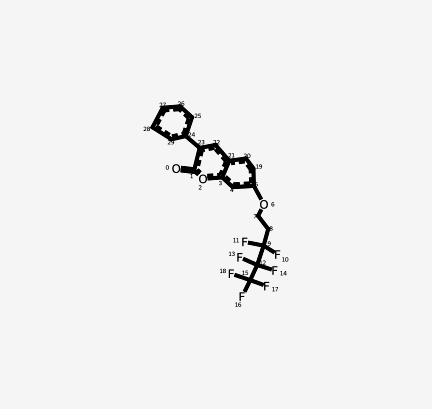 O=c1oc2cc(OCCC(F)(F)C(F)(F)C(F)(F)F)ccc2cc1-c1ccccc1